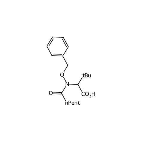 CCCCCC(=O)N(OCc1ccccc1)C(C(=O)O)C(C)(C)C